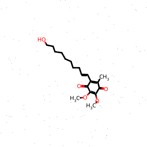 COC1=C(OC)C(=O)C(C=CCCCCCCCCO)=C(C)C1=O